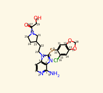 Nc1nccc2c1nc(Sc1cc3c(cc1Cl)OCO3)n2CCC1CCN(C(=O)CO)C1